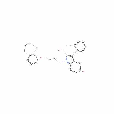 CC(C)c1ccccc1-c1c(OC(=O)O)n(CCCOc2cccc3c2CCCC3)c2ccc(O)cc12